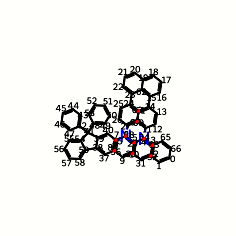 c1ccc(N(c2ccccc2)c2ccc(-c3cccc4cccc(-c5ccc(N(c6ccccc6)c6ccc7c(c6)C(c6ccccc6)(c6ccccc6)c6ccccc6-7)cc5)c34)cc2)cc1